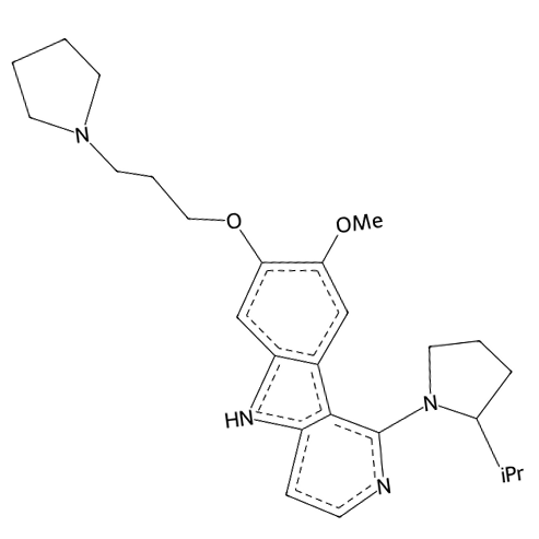 COc1cc2c(cc1OCCCN1CCCC1)[nH]c1ccnc(N3CCCC3C(C)C)c12